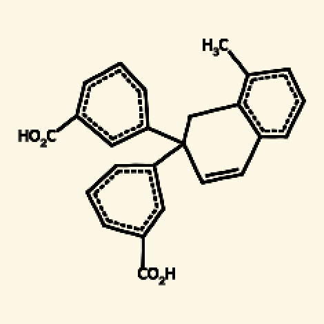 Cc1cccc2c1CC(c1cccc(C(=O)O)c1)(c1cccc(C(=O)O)c1)C=C2